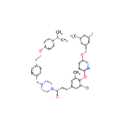 Cc1cc(F)cc(COc2ccc(Oc3c(C)cc(C=CC(=O)N4CCN(Cc5ccc(CCOc6ccc(C(C)C)cc6)cc5)CC4)cc3Cl)nc2)c1